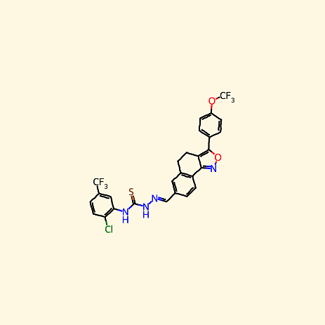 FC(F)(F)Oc1ccc(-c2onc3c2CCc2cc(C=NNC(=S)Nc4cc(C(F)(F)F)ccc4Cl)ccc2-3)cc1